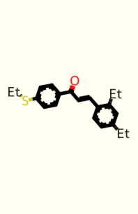 CCSc1ccc(C(=O)C=Cc2ccc(CC)cc2CC)cc1